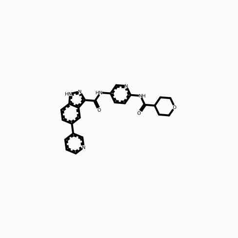 O=C(Nc1ccc(NC(=O)C2CCOCC2)nc1)c1n[nH]c2ccc(-c3cccnc3)cc12